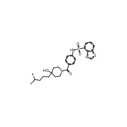 O=C(c1ccc(NS(=O)(=O)c2cccc3scnc23)cc1)N1CCC(O)(CCCC(F)F)CC1